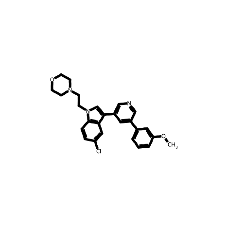 COc1cccc(-c2cncc(-c3cn(CCN4CCOCC4)c4ccc(Cl)cc34)c2)c1